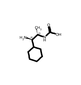 C[C@H](NC(=O)O)[C@H](N)C1CCCCC1